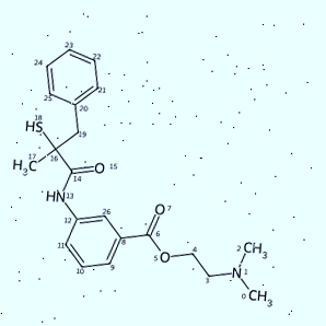 CN(C)CCOC(=O)c1cccc(NC(=O)C(C)(S)Cc2ccccc2)c1